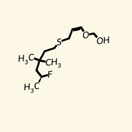 C[C@H](F)CC(C)(C)CCSC/C=C\OCO